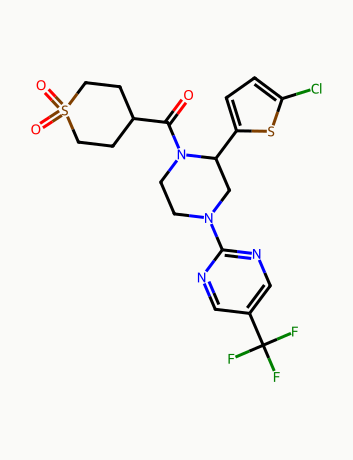 O=C(C1CCS(=O)(=O)CC1)N1CCN(c2ncc(C(F)(F)F)cn2)CC1c1ccc(Cl)s1